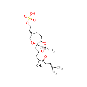 CC(=O)O[C@@H]1CCC(=CCOS(=O)(=O)O)CO[C@@]1(C)CCCC(C)C(=O)CC=C(C)C